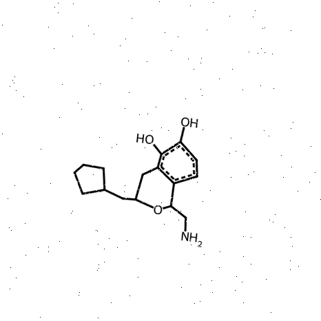 NCC1OC(CC2CCCC2)Cc2c1ccc(O)c2O